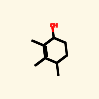 CC1=C(C)C(O)CCC1C